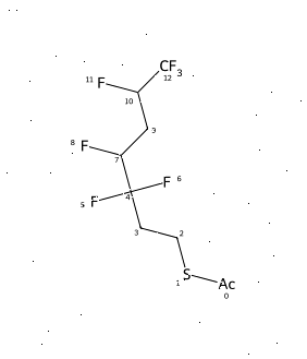 CC(=O)SCCC(F)(F)C(F)CC(F)C(F)(F)F